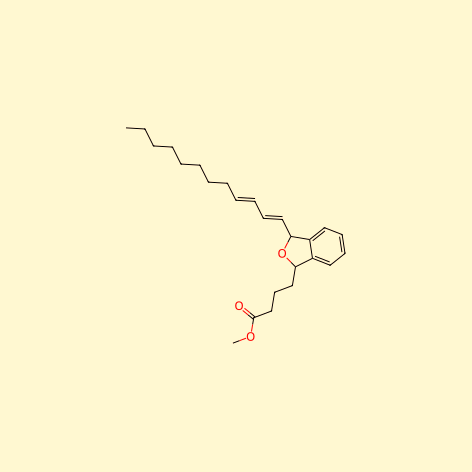 CCCCCCCCC=CC=CC1OC(CCCC(=O)OC)c2ccccc21